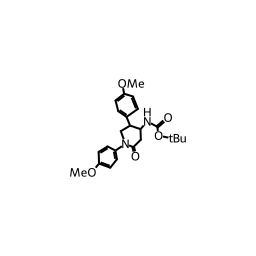 COc1ccc(C2CN(c3ccc(OC)cc3)C(=O)CC2NC(=O)OC(C)(C)C)cc1